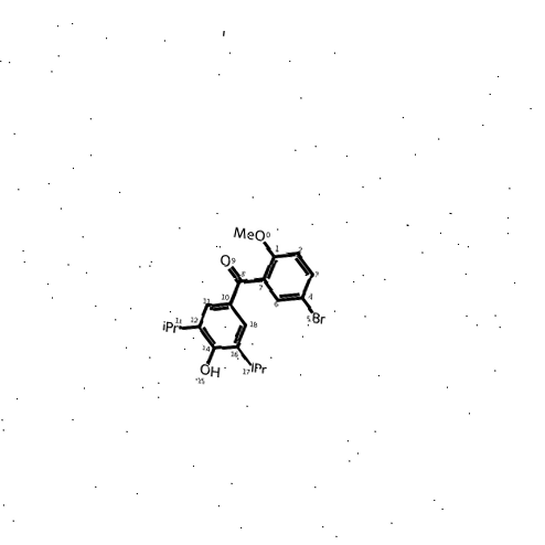 COc1ccc(Br)cc1C(=O)c1cc(C(C)C)c(O)c(C(C)C)c1